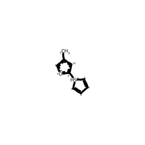 Cc1coc([SH]2C=CC=C2)c1